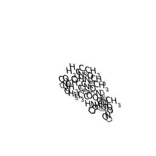 CC[C@H](C)C([C@@H](CC(=O)N1CCC[C@H]1[C@H](OC)[C@@H](C)C(=O)N[C@@H](Cc1c[nH]c2ccccc12)C(=O)N1CCCCO1)OC)N(C)C(=O)[C@@H](NC(=O)[C@H](C(C)C)N(C)Cc1ccc(C(=O)ON2C(=O)CCC2=O)cc1)C(C)C